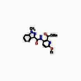 CCOc1ccc(NC(=O)c2nn(C)c3ccccc23)c(C(=O)OC)n1